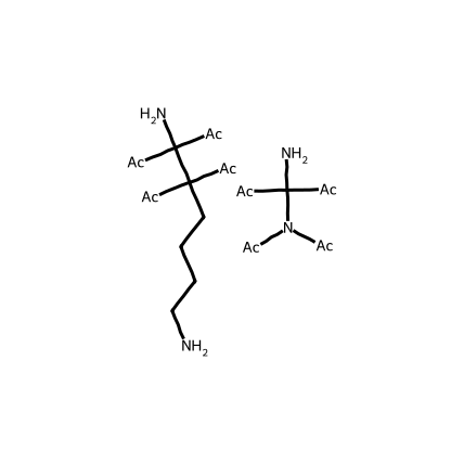 CC(=O)C(N)(C(C)=O)C(CCCCN)(C(C)=O)C(C)=O.CC(=O)N(C(C)=O)C(N)(C(C)=O)C(C)=O